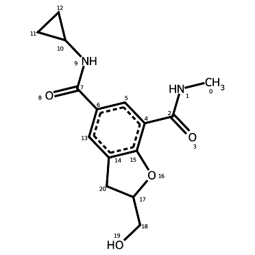 CNC(=O)c1cc(C(=O)NC2CC2)cc2c1OC(CO)C2